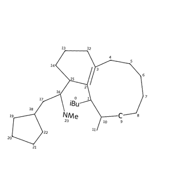 CCC(C)C1C2=C(CCCCCCC1C)CCCC2C(CC1CCCC1)NC